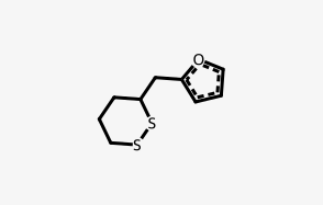 c1coc(CC2CCCSS2)c1